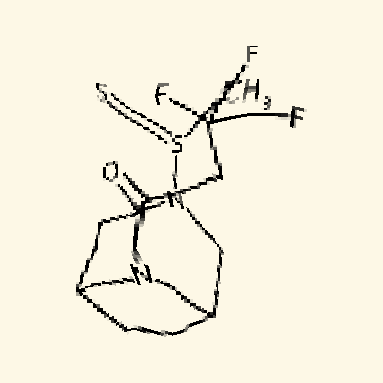 CS(=S)N1CC2CC(C1)N2C(=O)CC(F)(F)F